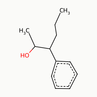 CCCC(c1ccccc1)C(C)O